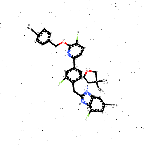 CC1(C)COC[C@H]1n1c(Cc2ccc(-c3ccc(F)c(OCc4ccc(C#N)cc4)n3)cc2F)nc2c(F)cc(C(=O)O)cc21